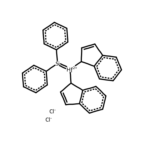 C1=C[CH]([Hf+2]([CH]2C=Cc3ccccc32)=[Si](c2ccccc2)c2ccccc2)c2ccccc21.[Cl-].[Cl-]